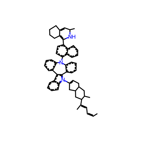 C/C=C\C=C(/C)C1CC2CC(n3c4c(c5ccccc53)-c3ccccc3N(c3ccc(C5=C6CCCCC6=CC(C)N5)c5ccccc35)c3ccccc3-4)=CCC2CC1C